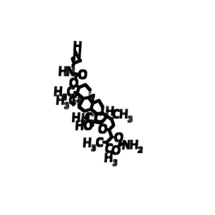 CC(C)[C@@H](OC(N)=O)C1C[C@@H](C)[C@H]2C(O1)[C@H](O)[C@@]1(C)C3CC[C@H]4C(C)(C)C(OC(=O)NC5CNC5)CC[C@@]45C[C@@]35CC[C@]21C